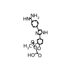 CS(=O)(=O)c1cc(-c2nc(-c3ccc(C(=N)N)cc3)c[nH]2)ccc1OCC(=O)O